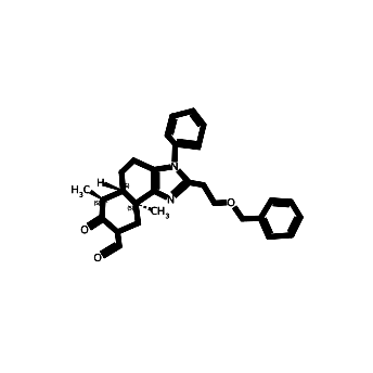 C[C@@H]1C(=O)C(C=O)C[C@]2(C)c3nc(CCOCc4ccccc4)n(-c4ccccc4)c3CC[C@@H]12